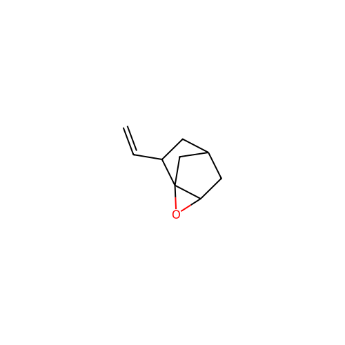 C=CC1CC2CC3OC13C2